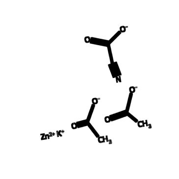 CC(=O)[O-].CC(=O)[O-].N#CC(=O)[O-].[K+].[Zn+2]